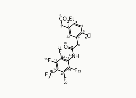 CCOC(=O)Cc1ccc(Cl)c(CC(=O)Nc2c(F)c(F)c(C(F)(F)F)c(F)c2F)c1